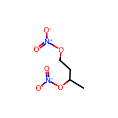 CC(CCO[N+](=O)[O-])O[N+](=O)[O-]